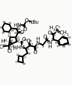 CN(C)C(=O)[C@@H](NC(=O)CNC(=O)C(=O)C(CC1CCC1)NC(=O)[C@H]1C(C(=O)[C@@H](NC(=O)OC(C)(C)C)C2CCCCC2)C[C@H]2[C@@H]1C2(Cl)Cl)c1ccccc1